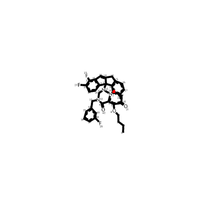 CCCCOc1c2n(ccc1=O)N(C13C(=Cc4c1ccc(F)c4F)Cc1ccccc13)CN(Cc1cccc(F)c1)C2=O